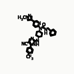 Cn1cc(-c2ccc(N(C(=O)NCc3ccccc3)[C@H]3CC[C@@H](Nc4ncc(C#N)c(-c5ccc(C(F)(F)F)cc5)n4)CC3)nc2)cn1